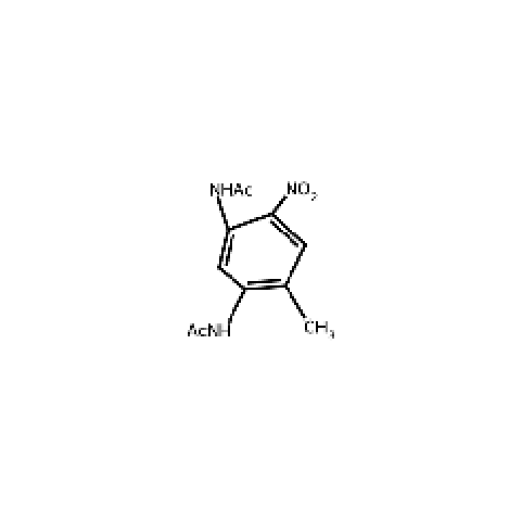 CC(=O)Nc1cc(NC(C)=O)c([N+](=O)[O-])cc1C